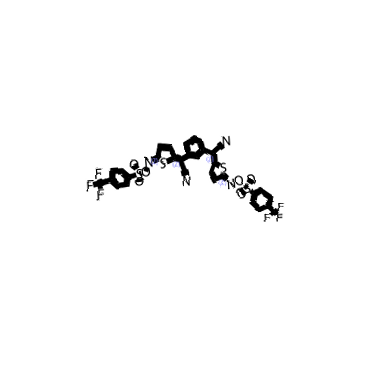 N#C/C(=C1C=C/C(=N/OS(=O)(=O)c2ccc(C(F)(F)F)cc2)S/1)c1cccc(/C(C#N)=C2C=C/C(=N/OS(=O)(=O)c3ccc(C(F)(F)F)cc3)S\2)c1